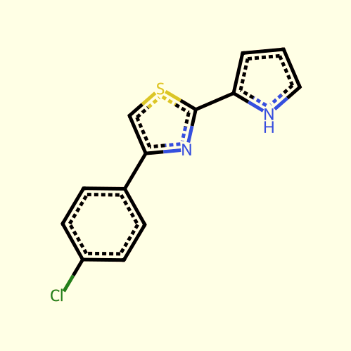 Clc1ccc(-c2csc(-c3ccc[nH]3)n2)cc1